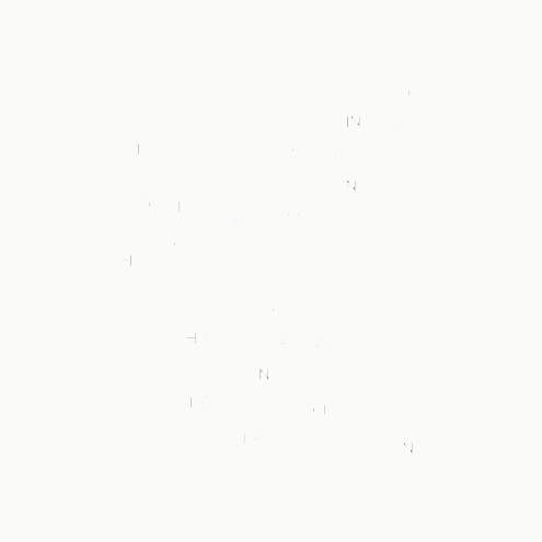 COP(=O)(/C=C/C1OC(n2ccc(=O)[nH]c2=O)CCC1OP(OCCC#N)N(C(C)C)C(C)C)OC